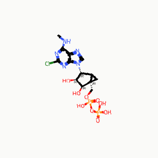 CNc1nc(Cl)nc2c1ncn2[C@@H]1C2C[C@@]2(COP(=O)(O)OP(=O)(O)O)[C@@H](O)[C@H]1O